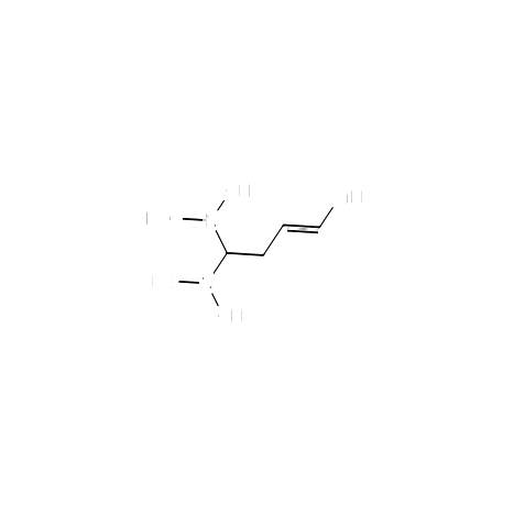 CN(C)C(CC=C[SiH3])N(C)C